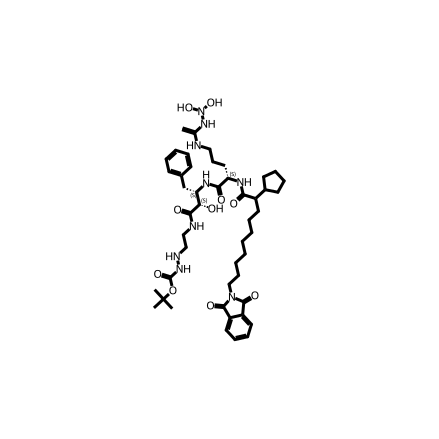 C=C(NCCC[C@H](NC(=O)C(CCCCCCCCN1C(=O)c2ccccc2C1=O)C1CCCC1)C(=O)N[C@@H](Cc1ccccc1)[C@H](O)C(=O)NCCNNC(=O)OC(C)(C)C)NN(O)O